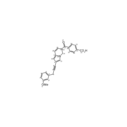 COc1cccc(CC#Cc2cc3n(c2)CN(C(=O)c2ccc(C(=O)O)cc2)C=C3)c1